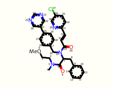 COCCN(C)C(=O)C(Cc1ccccc1)N(Cc1ccc(-c2cncnc2)cc1)C(=O)C=Cc1ccc(Cl)cn1